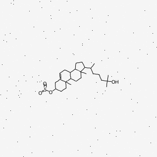 CC(CCCC(C)(C)O)C1CCC2C3CC=C4CC(O[SH](=O)=O)CCC4(C)C3CCC12C